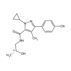 Cc1c(-c2ccc(C#N)cc2)nn(C2CC2)c1C(=O)NC[C@@H](C)O